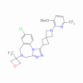 COc1ccc(C(F)(F)F)nc1N1CC2(CC(c3nnc4n3-c3ccc(Cl)cc3CN(C3(C(F)(F)F)COC3)C4)C2)C1